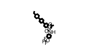 CCC1CCC(c2ccc(-c3ccc4c(c3)OC(C)CN4C(=O)Nc3ccc(OC(F)(F)F)cc3)cc2)CC1